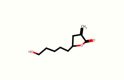 C=C1CC(CCCCCO)OC1=O